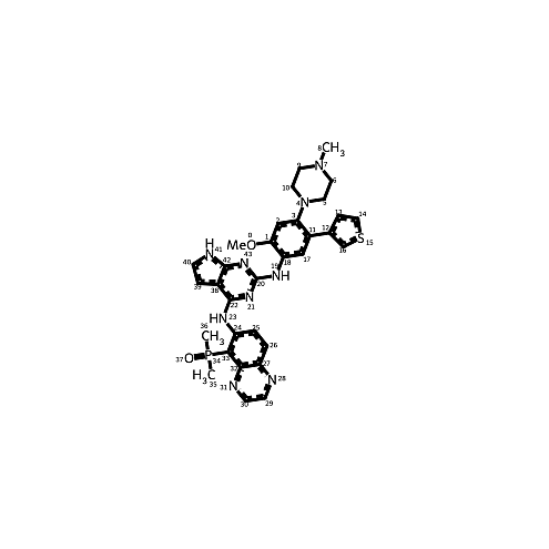 COc1cc(N2CCN(C)CC2)c(-c2ccsc2)cc1Nc1nc(Nc2ccc3nccnc3c2P(C)(C)=O)c2cc[nH]c2n1